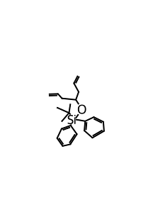 C=CCC(CC=C)O[Si](c1ccccc1)(c1ccccc1)C(C)(C)C